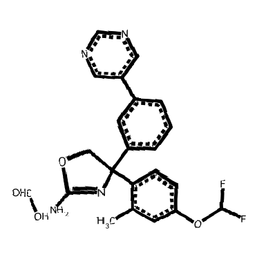 Cc1cc(OC(F)F)ccc1C1(c2cccc(-c3cncnc3)c2)COC(N)=N1.O=CO